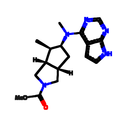 COC(=O)N1C[C@H]2C[C@H](N(C)c3ncnc4[nH]ccc34)[C@H](C)[C@H]2C1